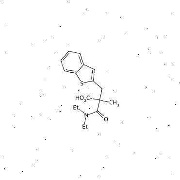 CCN(CC)C(=O)C(C)(Cc1cc2ccccc2s1)C(=O)O